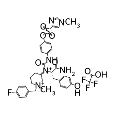 Cn1cnc(S(=O)(=O)Oc2ccc(NC(=O)/[N+](=C3\CCC[N+](C)(Cc4ccc(F)cc4)C3)[C@@H](Cc3ccc(O)cc3)C(N)=O)cc2)c1.O=C(O)C(F)(F)F